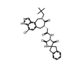 CC(C)(C)CN1Cc2c(cc(Cl)c3[nH]ncc23)C[C@@H](CC(=O)NN2C(=O)NC3(Cc4ccccc4C3)C2=O)C1=O